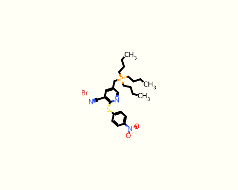 CCCC[P+](CCCC)(CCCC)Cc1cnc(Sc2ccc([N+](=O)[O-])cc2)c(C#N)c1.[Br-]